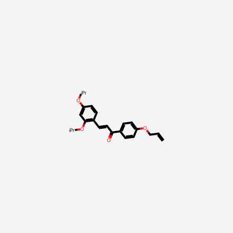 C=CCOc1ccc(C(=O)C=Cc2ccc(OC(C)C)cc2OC(C)C)cc1